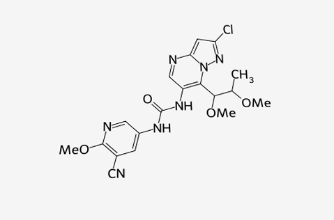 COc1ncc(NC(=O)Nc2cnc3cc(Cl)nn3c2C(OC)C(C)OC)cc1C#N